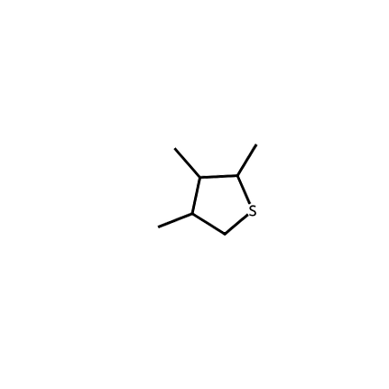 CC1CSC(C)C1C